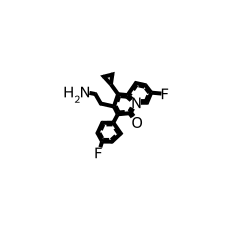 NCCc1c(-c2ccc(F)cc2)c(=O)n2cc(F)ccc2c1C1CC1